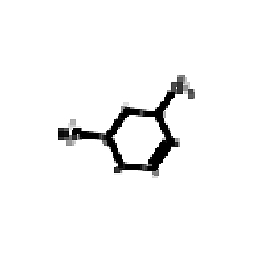 C[C]1C=CC[C](C)C1